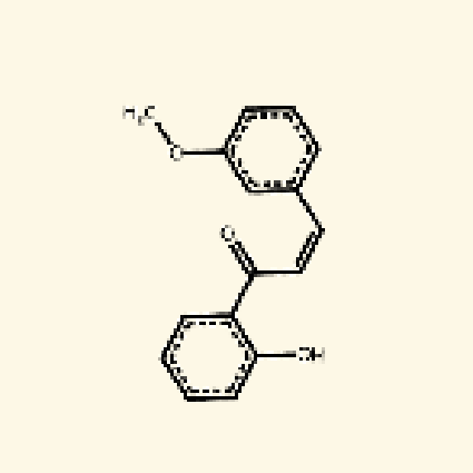 COc1cccc(/C=C\C(=O)c2ccccc2O)c1